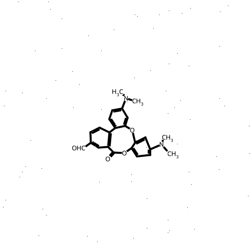 CN(C)c1ccc2oc(=O)c3cc(C=O)ccc3c3ccc(N(C)C)cc3oc2c1